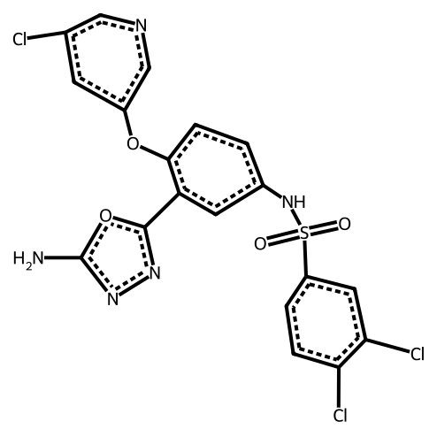 Nc1nnc(-c2cc(NS(=O)(=O)c3ccc(Cl)c(Cl)c3)ccc2Oc2cncc(Cl)c2)o1